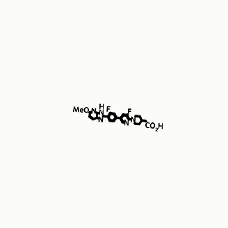 COC1=NC2NC(c3ccc(-c4cnc(N5CCC(CC(=O)O)CC5)c(F)c4)cc3F)=NC2C=C1